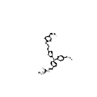 C=CC(=O)OCCc1ccc(N(c2ccc(C)cc2)c2ccc(CCOc3ccc(C=C)cc3)cc2)cc1